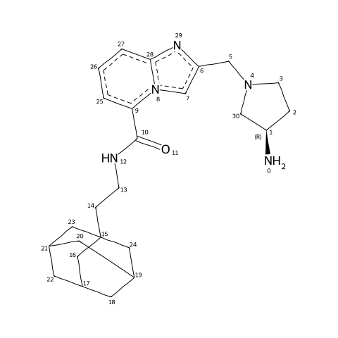 N[C@@H]1CCN(Cc2cn3c(C(=O)NCCC45CC6CC(CC(C6)C4)C5)cccc3n2)C1